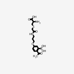 CC(=O)c1ccc(OCCCNC(=O)CSCC(N)C(=O)O)cc1B(O)O